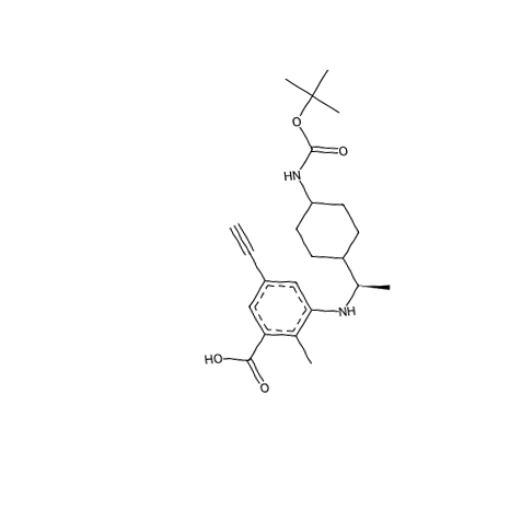 C#Cc1cc(N[C@H](C)C2CCC(NC(=O)OC(C)(C)C)CC2)c(C)c(C(=O)O)c1